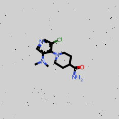 CN(C)c1cncc(Cl)c1N1CCC(C(N)=O)CC1